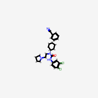 N#Cc1cccc([C@H]2CC[C@@H](N(CCN3CCCC3)C(=O)Nc3ccc(Cl)c(Cl)c3)CC2)c1